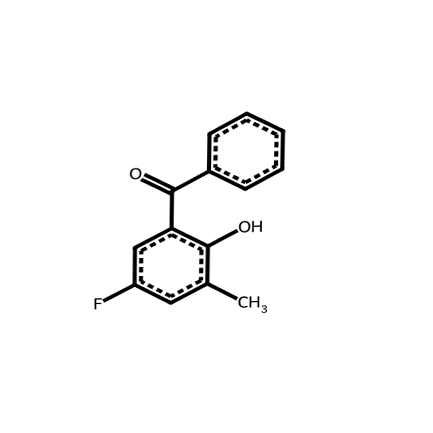 Cc1cc(F)cc(C(=O)c2ccccc2)c1O